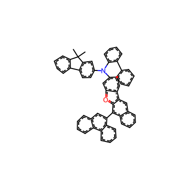 CC1(C)c2ccccc2-c2ccc(N(c3ccc4c(c3)oc3c(-c5cc6ccccc6c6ccccc56)c5ccccc5cc34)c3ccccc3-c3ccccc3)cc21